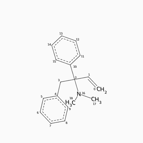 C=CC(Cc1ccccc1)(c1ccccc1)N(C)C